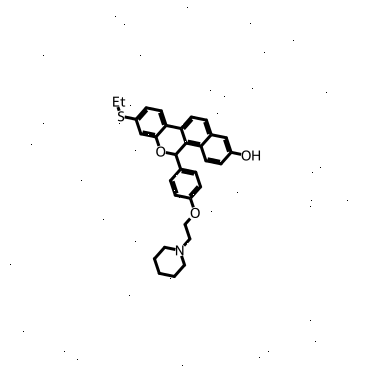 CCSc1ccc2c(c1)OC(c1ccc(OCCN3CCCCC3)cc1)c1c-2ccc2cc(O)ccc12